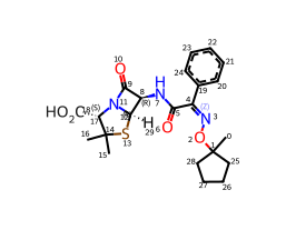 CC1(O/N=C(\C(=O)N[C@@H]2C(=O)N3[C@@H]2SC(C)(C)[C@@H]3C(=O)O)c2ccccc2)CCCC1